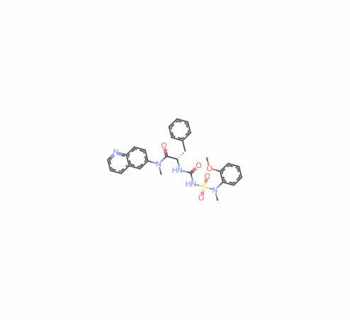 COc1ccccc1N(C)S(=O)(=O)NC(=O)N[C@@H](Cc1ccccc1)C(=O)N(C)c1ccc2ncccc2c1